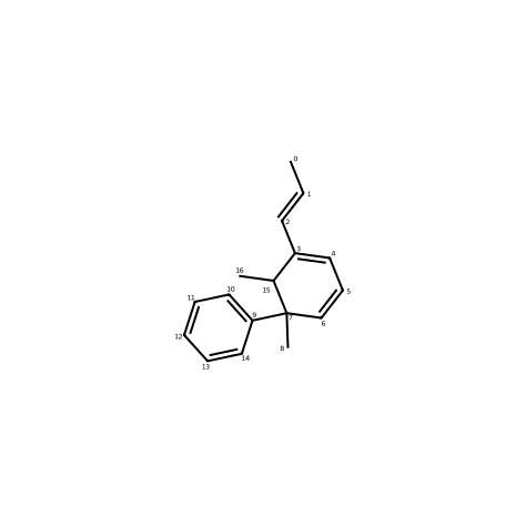 CC=CC1=CC=CC(C)(c2ccccc2)C1C